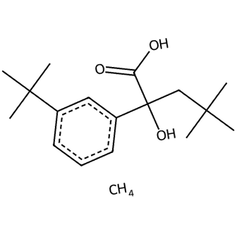 C.CC(C)(C)CC(O)(C(=O)O)c1cccc(C(C)(C)C)c1